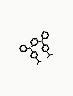 CC(C)c1ccc(N(c2ccccc2)c2cccc(N(c3ccccc3)c3ccc(C(C)C)cc3)c2)cc1